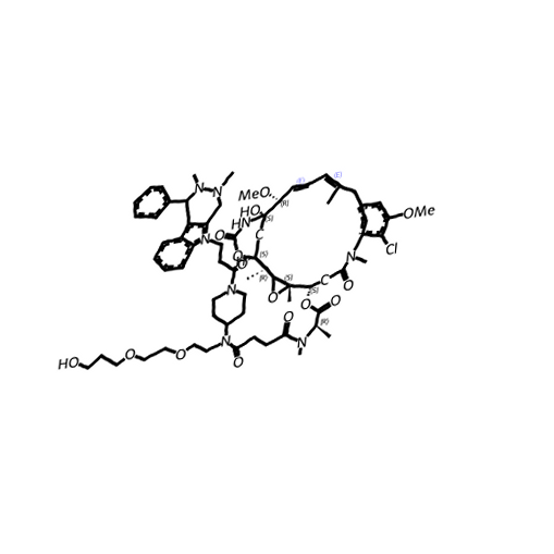 COc1cc2cc(c1Cl)N(C)C(=O)C[C@H](OC(=O)[C@@H](C)N(C)C(=O)CCC(=O)N(CCOCCOCCCO)C1CCN(C(=O)CCn3c4c(c5ccccc53)C(c3ccccc3)N(C)N(C)C4)CC1)[C@]1(C)OC1[C@H](C)[C@@H]1C[C@@](O)(NC(=O)O1)[C@H](OC)/C=C/C=C(\C)C2